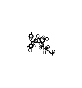 CC[C@@]1(OC(=O)CNC(=O)CCCC(C)=O)CC(=O)OCc2c1cc1n(c2=O)Cc2c-1nc1cc(Cl)c(C)cc1c2CN1CCC(C)CC1